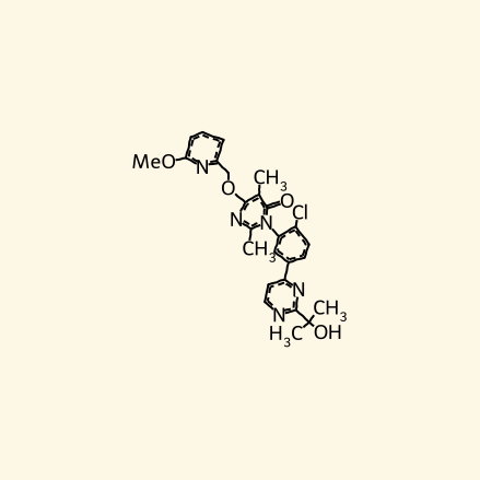 COc1cccc(COc2nc(C)n(-c3cc(-c4ccnc(C(C)(C)O)n4)ccc3Cl)c(=O)c2C)n1